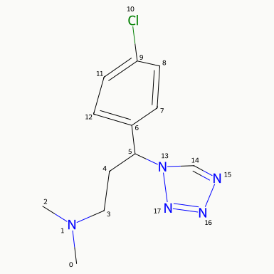 CN(C)CCC(c1ccc(Cl)cc1)n1cnnn1